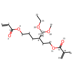 C=CC(=O)OCCCC(CCOC(=O)C(=C)C)[SiH](OC)OCC